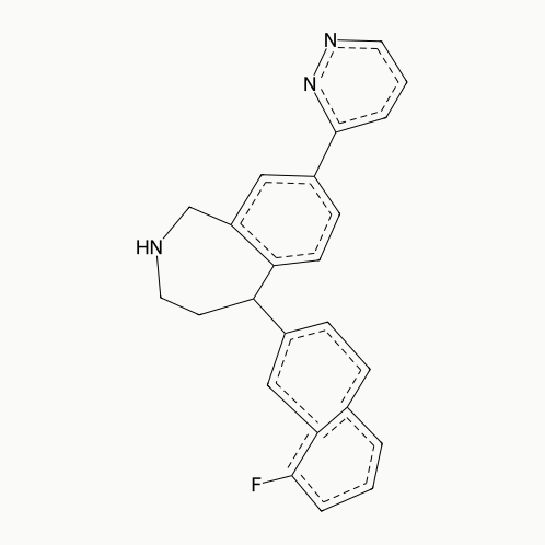 Fc1cccc2ccc(C3CCNCc4cc(-c5cccnn5)ccc43)cc12